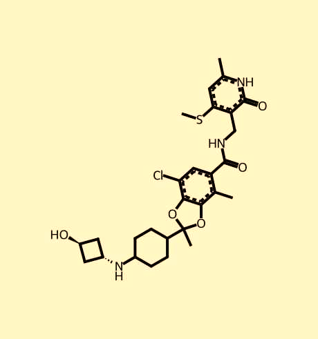 CSc1cc(C)[nH]c(=O)c1CNC(=O)c1cc(Cl)c2c(c1C)OC(C)(C1CCC(N[C@H]3C[C@H](O)C3)CC1)O2